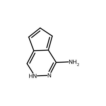 Nc1n[nH]cc2cccc1-2